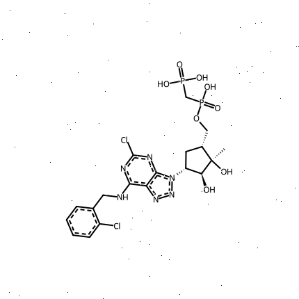 C[C@@]1(O)[C@@H](COP(=O)(O)CP(=O)(O)O)C[C@@H](n2nnc3c(NCc4ccccc4Cl)nc(Cl)nc32)[C@@H]1O